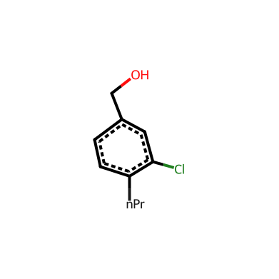 CCCc1ccc(CO)cc1Cl